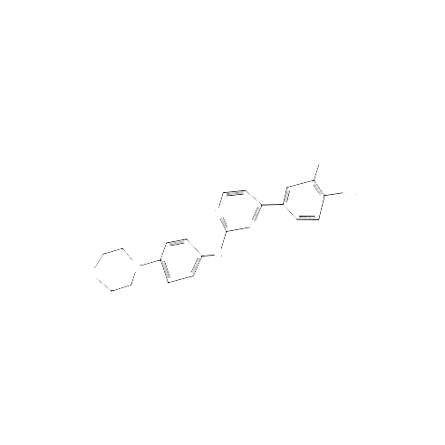 N#Cc1ccc(-c2ccnc(Nc3ccc(N4CCOCC4)cc3)n2)cc1Cl